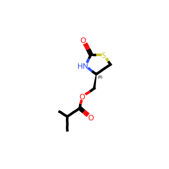 CC(C)C(=O)OC[C@@H]1CSC(=O)N1